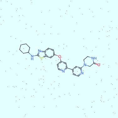 O=C1CN(c2cc(-c3cc(Oc4ccc5nc(NC6CCCCC6)sc5c4)ccn3)ccn2)CCN1